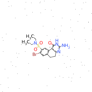 CCN(CC)S(=O)(=O)c1cc2c(cc1Br)CCc1nc(N)[nH]c(=O)c1-2